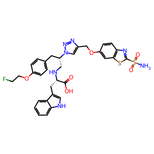 NS(=O)(=O)c1nc2ccc(OCc3cn([C@H](CN[C@@H](Cc4c[nH]c5ccccc45)C(=O)O)Cc4ccc(OCCF)cc4)nn3)cc2s1